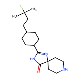 CC(C)(F)CCC1CCC(C2=NC3(CCNCC3)C(=O)N2)CC1